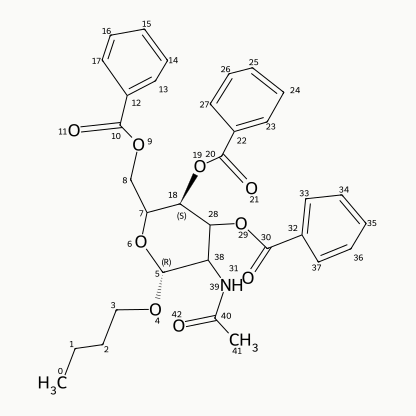 CCCCO[C@@H]1OC(COC(=O)c2ccccc2)[C@@H](OC(=O)c2ccccc2)C(OC(=O)c2ccccc2)C1NC(C)=O